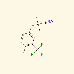 Cc1ccc(CC(C)(C)C#N)cc1C(F)(F)F